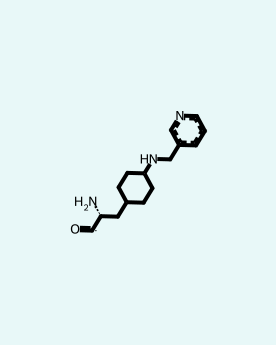 N[C@@H]([C]=O)CC1CCC(NCc2cccnc2)CC1